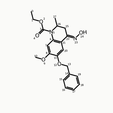 CCOC(=O)N1c2cc(OC)c(OCc3ccccc3)cc2C(=NO)CC1C